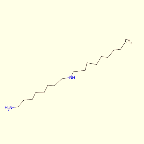 CCCCCCCCCNCCCCCCCCN